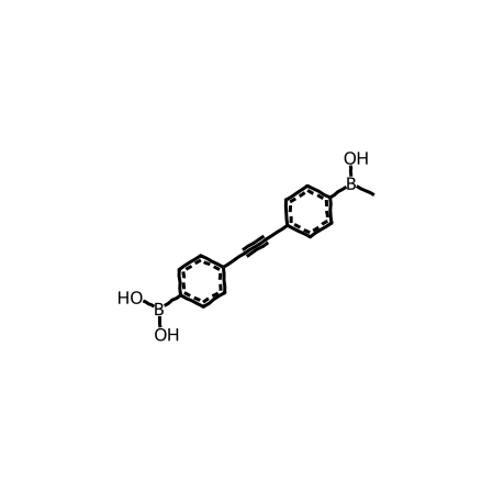 CB(O)c1ccc(C#Cc2ccc(B(O)O)cc2)cc1